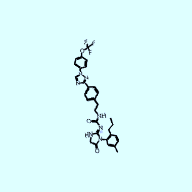 CCCc1ccc(C)cc1N1C(=O)CN/C1=N\C(=O)NCCc1ccc(-c2ncn(-c3ccc(OC(F)(F)F)cc3)n2)cc1